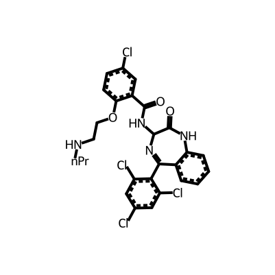 CCCNCCOc1ccc(Cl)cc1C(=O)NC1N=C(c2c(Cl)cc(Cl)cc2Cl)c2ccccc2NC1=O